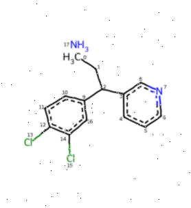 CCC(c1cccnc1)c1ccc(Cl)c(Cl)c1.N